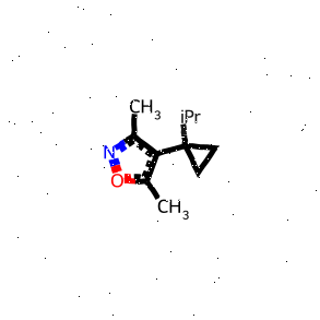 Cc1noc(C)c1C1(C(C)C)CC1